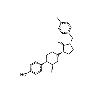 Cc1ccc(CN2CC[C@@H](N3CC[C@H](c4ccc(O)cc4)[C@H](F)C3)C2=O)cc1